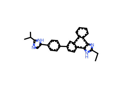 CCc1nc2c3ccccc3c3cc(-c4ccc(-c5cnc(C(C)C)[nH]5)cc4)ccc3c2[nH]1